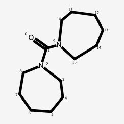 O=C(N1CCCCCC1)N1CCCCCC1